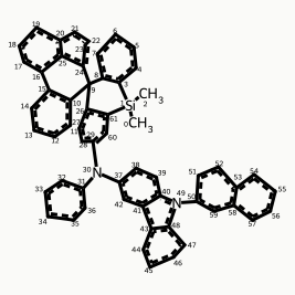 C[Si]1(C)c2ccccc2C2(c3ccccc3-c3cccc4cccc2c34)c2ccc(N(c3ccccc3)c3ccc4c(c3)c3ccccc3n4-c3ccc4ccccc4c3)cc21